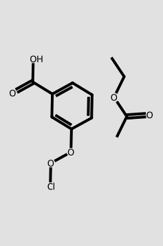 CCOC(C)=O.O=C(O)c1cccc(OOCl)c1